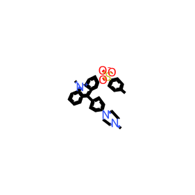 CN1CCN(c2ccc(-c3c4ccccc4[n+](C)c4ccccc34)cc2)CC1.Cc1ccc(S(=O)(=O)[O-])cc1